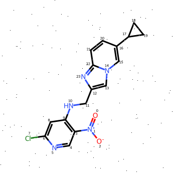 O=[N+]([O-])c1cnc(Cl)cc1NCc1cn2cc(C3CC3)ccc2n1